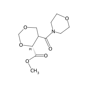 COC(=O)[C@@H]1OCOCC1C(=O)N1CCOCC1